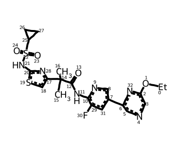 CCOc1cncc(-c2cnc(NC(=O)C(C)(C)c3csc(NS(=O)(=O)C4CC4)n3)c(F)c2)n1